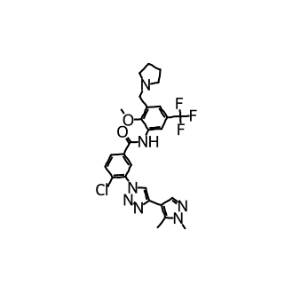 COc1c(CN2CCCC2)cc(C(F)(F)F)cc1NC(=O)c1ccc(Cl)c(-n2cc(-c3cnn(C)c3C)nn2)c1